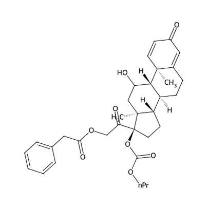 CCCOC(=O)O[C@]1(C(=O)COC(=O)Cc2ccccc2)CC[C@H]2[C@@H]3CCC4=CC(=O)C=C[C@]4(C)[C@H]3C(O)C[C@@]21C